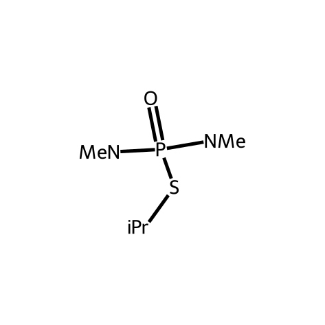 CNP(=O)(NC)SC(C)C